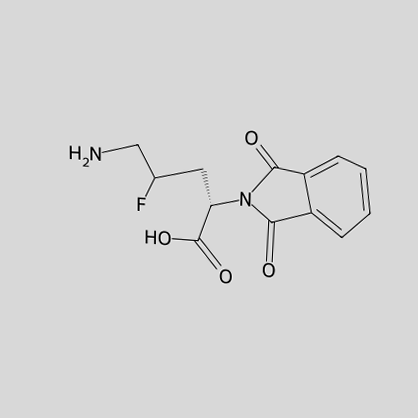 NCC(F)C[C@@H](C(=O)O)N1C(=O)c2ccccc2C1=O